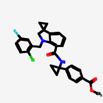 COC(=O)c1ccc(C2(NC(=O)c3cccc4c3N(Cc3cc(F)ccc3Cl)CC43CC3)CC2)cc1